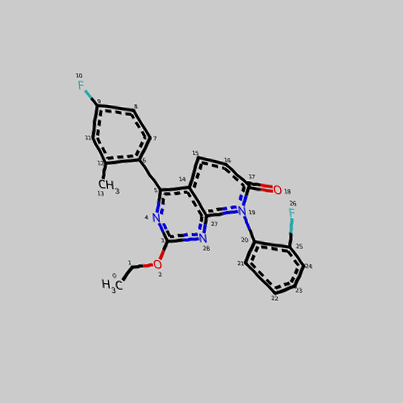 CCOc1nc(-c2ccc(F)cc2C)c2ccc(=O)n(-c3ccccc3F)c2n1